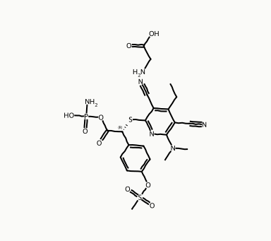 CCc1c(C#N)c(S[C@@H](C(=O)OP(N)(=O)O)c2ccc(OS(C)(=O)=O)cc2)nc(N(C)C)c1C#N.NCC(=O)O